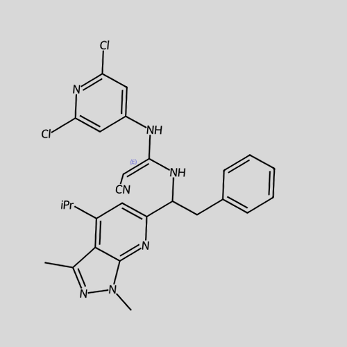 Cc1nn(C)c2nc(C(Cc3ccccc3)N/C(=C\C#N)Nc3cc(Cl)nc(Cl)c3)cc(C(C)C)c12